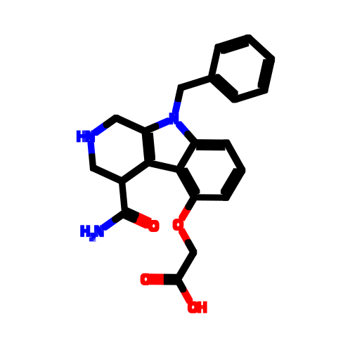 NC(=O)C1CNCc2c1c1c(OCC(=O)O)cccc1n2Cc1ccccc1